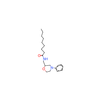 CCCCCCCCC(=O)NCC1CN(c2ccccc2)CCO1